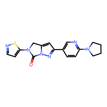 O=C1N(c2ccns2)Cc2cc(-c3ccc(N4CCCC4)nc3)nn21